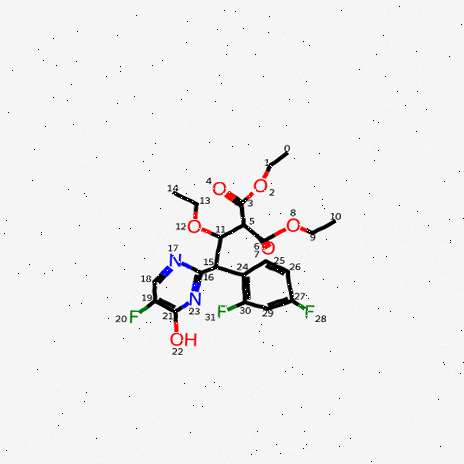 CCOC(=O)C(C(=O)OCC)C(OCC)C(c1ncc(F)c(O)n1)c1ccc(F)cc1F